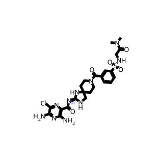 CN(C)C(=O)CNS(=O)(=O)c1cccc(C(=O)N2CCC3(CC2)CN/C(=N\C(=O)c2nc(Cl)c(N)nc2N)N3)c1